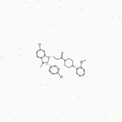 COc1ccccc1N1CCN(C(=O)CC[C@H]2c3cc(Cl)ccc3N(C)[C@H]2c2ccc(Cl)cc2)CC1